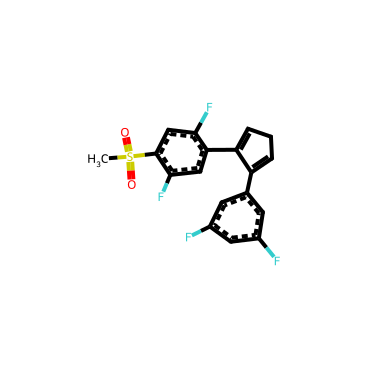 CS(=O)(=O)c1cc(F)c(C2=CCC=C2c2cc(F)cc(F)c2)cc1F